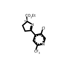 CCOC(=O)[C@@H]1CCC(c2cc(C(F)(F)F)ncc2Cl)=N1